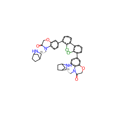 O=C1COc2cc(-c3cccc(-c4cccc(-c5ccc6c(c5)OCC(=O)N6C[C@H]5NC6CCC5C6)c4Cl)c3Cl)ccc2N1C[C@H]1NC2CCC1C2